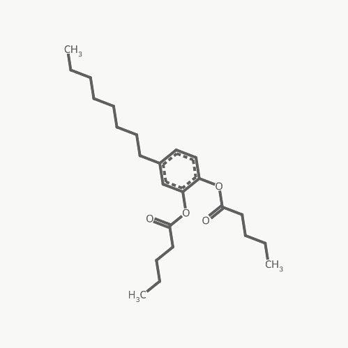 CCCCCCCCc1ccc(OC(=O)CCCC)c(OC(=O)CCCC)c1